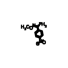 CO/N=C(/P)c1ccc([N+](=O)[O-])cc1